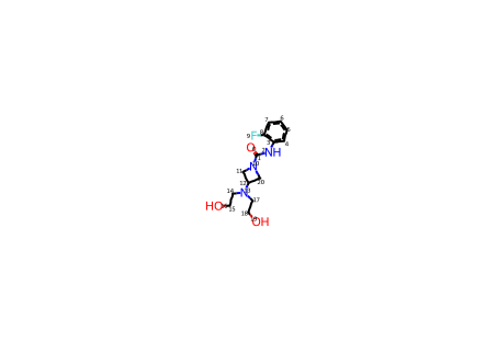 O=C(Nc1ccccc1F)N1CC(N(CCO)CCO)C1